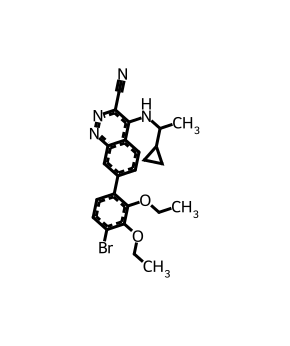 CCOc1c(Br)ccc(-c2ccc3c(NC(C)C4CC4)c(C#N)nnc3c2)c1OCC